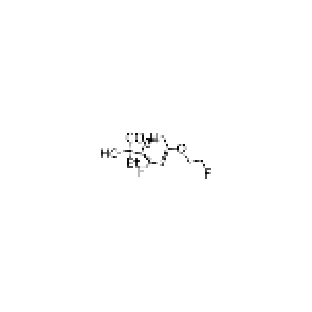 CCC(O)(C(=O)O)c1ccc(OCCF)cc1F